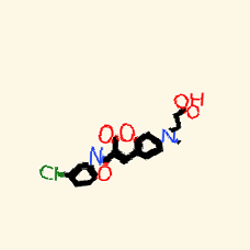 CN(CCCC(=O)O)c1ccc2cc(-c3nc4cc(Cl)ccc4o3)c(=O)oc2c1